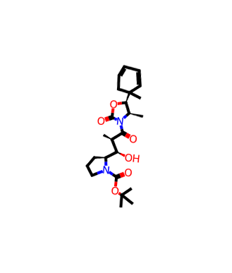 C[C@@H]1[C@H](C2(C)C=CC=CC2)OC(=O)N1C(=O)[C@H](C)[C@@H](O)[C@@H]1CCCN1C(=O)OC(C)(C)C